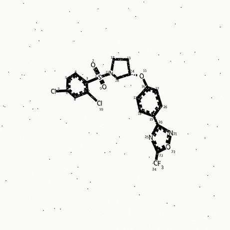 O=S(=O)(c1ccc(Cl)cc1Cl)N1CC[C@H](Oc2ccc(-c3noc(C(F)(F)F)n3)cc2)C1